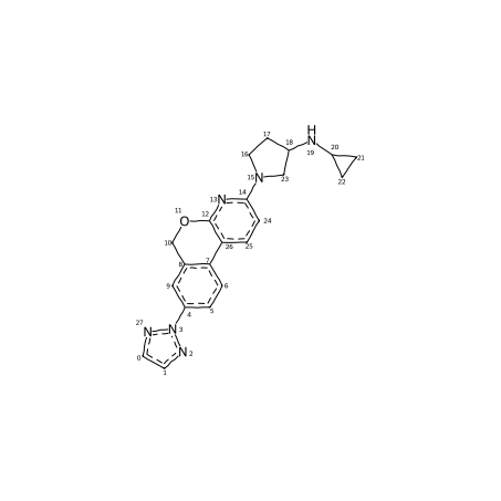 c1cnn(-c2ccc3c(c2)COc2nc(N4CCC(NC5CC5)C4)ccc2-3)n1